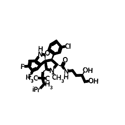 CC(C)CC(C)(C)C[C@H]1N(C)[C@@H](C(=O)NCC[C@H](O)CO)[C@H](c2cccc(Cl)c2)[C@@]12C(=O)Nc1cc(F)c(F)cc12